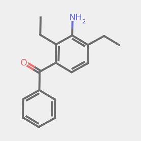 CCc1ccc(C(=O)c2ccccc2)c(CC)c1N